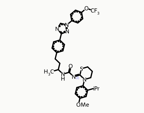 COc1ccc(N2CCCS/C2=N\C(=O)NC(C)CCc2ccc(-c3ncn(-c4ccc(OC(F)(F)F)cc4)n3)cc2)c(C(C)C)c1